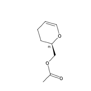 CC(=O)OC[C@H]1CCC=CO1